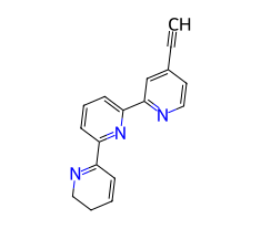 C#Cc1ccnc(-c2cccc(C3=NCCC=C3)n2)c1